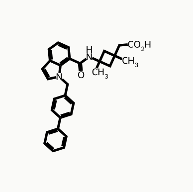 CC1(CC(=O)O)CC(C)(NC(=O)c2cccc3ccn(Cc4ccc(-c5ccccc5)cc4)c23)C1